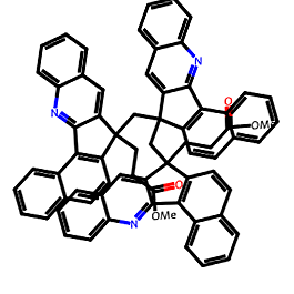 COC(=O)CCC1(CC2(CC3(CCC(=O)OC)c4cc5ccccc5nc4-c4c3ccc3ccccc43)c3cc4ccccc4nc3-c3c2ccc2ccccc32)c2cc3ccccc3nc2-c2c1ccc1ccccc21